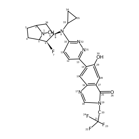 CN1C2CCC1[C@H](F)[C@H](N(c1ccc(-c3cc4ncn(CC(F)(F)F)c(=O)c4cc3O)nn1)C1CC1)C2